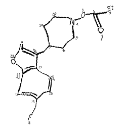 CCC(=O)ON1CCC(c2noc3cc(F)ccc23)CC1